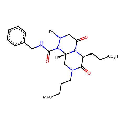 CCN1CC(=O)N2[C@@H](CCC(=O)O)C(=O)N(CCCOC)C[C@@H]2N1C(=O)NCc1ccccc1